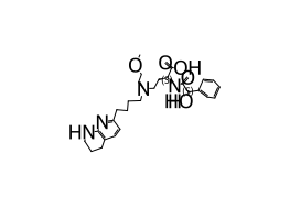 COCCN(CCCCc1ccc2c(n1)NCCC2)CC[C@H](NC(=O)[C@@H](O)c1ccccc1)C(=O)O